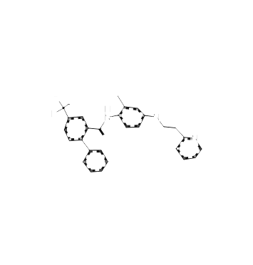 Cc1cc(NCCc2ccccn2)ccc1NC(=O)c1cc(C(F)(F)F)ccc1-c1ccccc1